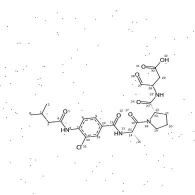 CC(C)CC(=O)Nc1ccc(C(=O)N[C@@H](C)C(=O)N2CCC[C@H]2C(=O)NC(C=O)CC(=O)O)cc1Cl